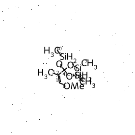 COC=C(C)C(O[SiH2]C)(O[SiH2]C)O[SiH2]C